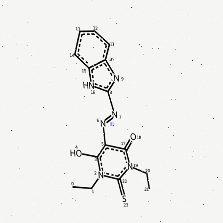 CCn1c(O)c(/N=N/c2nc3ccccc3[nH]2)c(=O)n(CC)c1=S